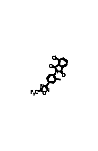 Cc1cc(-c2noc(C(F)(F)F)n2)ccc1N1C(=O)c2cccc(Cl)c2C1=O